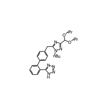 CCCCn1nc(C(OC(C)C)OC(C)C)nc1Cc1ccc(-c2ccccc2-c2nnn[nH]2)cc1